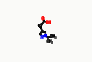 CC(C)n1cc(C2CC2C(=O)O)cn1